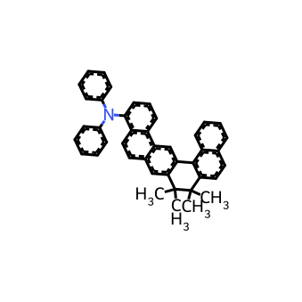 CC1(C)c2cc3ccc4c(N(c5ccccc5)c5ccccc5)cccc4c3cc2-c2c(ccc3ccccc23)C1(C)C